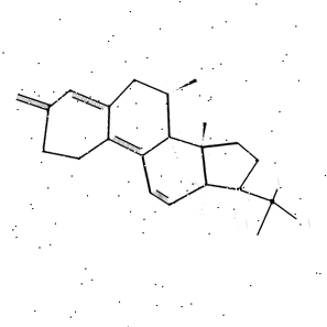 C[C@@H]1CC2=CC(=O)CCC2=C2C=C[C@@]3(C)[C@@H](CC[C@@]3(O)C(F)(F)C(F)(F)F)[C@@H]21